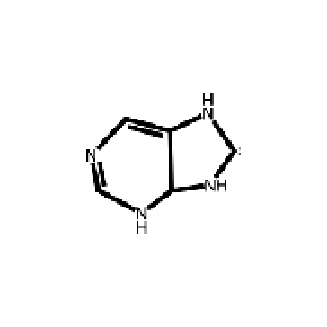 [C]1NC2=CN=CNC2N1